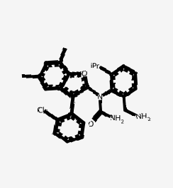 Cc1cc(C)c2oc(N(C(N)=O)c3c(CN)cccc3C(C)C)c(-c3ccccc3Cl)c2c1